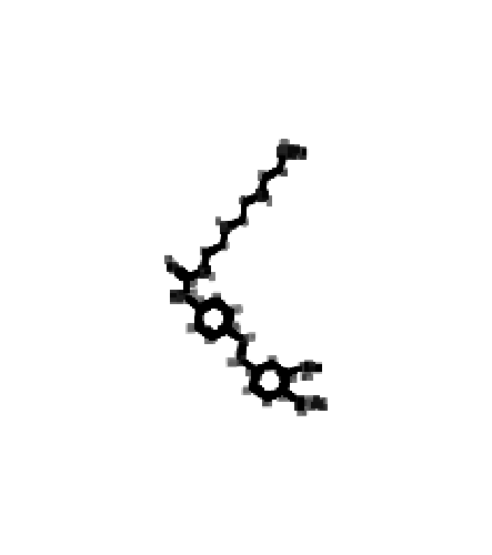 COCCOCCOCCOC(=O)Nc1ccc(N=Nc2ccc(NC(C)=O)c(C(C)(C)C)c2)cc1